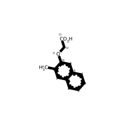 Cc1cc2ccccc2cc1OCC(=O)O